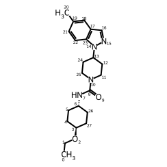 CCO[C@H]1CC[C@H](NC(=O)N2CCC(n3ncc4cc(C)ccc43)CC2)CC1